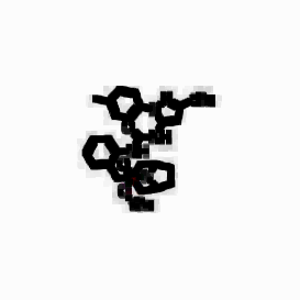 Cc1ccc(-n2nc(C(C)(C)C)cc2NC(=O)Nc2ccccc2CC2CC3CCC(C2)N3C(=O)OC(C)(C)C)cc1